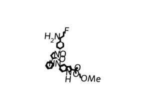 COCCOC(=O)c1cc2cc(NC(=O)[C@@H]3[C@@H](c4ccccc4)CCN3C(=O)[C@H]3CC[C@H]([C@H](N)CCF)CC3)ccc2[nH]1